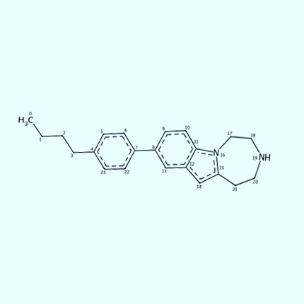 CCCCc1ccc(-c2ccc3c(c2)cc2n3CCNCC2)cc1